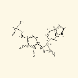 CC(F)(F)COc1ccc([C@@H]2CC(=O)N2c2ccn3ccnc3c2)c(F)c1F